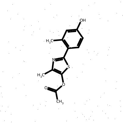 CC(=O)Oc1sc(-c2ccc(O)cc2C)nc1C